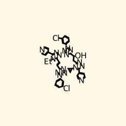 CCn1c(C=Cc2nnn(-c3cccc(Cl)c3)n2)nnc1-c1ccncc1.OC(Cc1nnc(-c2ccncc2)n1C1CC1)c1nnn(-c2cccc(Cl)c2)n1